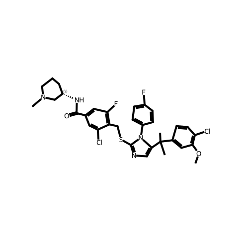 COc1cc(C(C)(C)c2cnc(SCc3c(F)cc(C(=O)N[C@H]4CCCN(C)C4)cc3Cl)n2-c2ccc(F)cc2)ccc1Cl